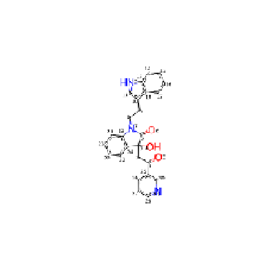 O=C(CC1(O)C(=O)N(CCc2c[nH]c3ccccc23)c2ccccc21)c1cccnc1